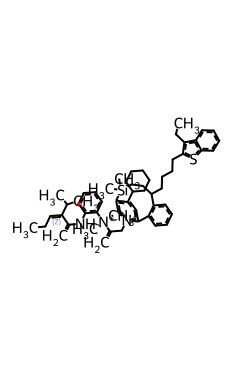 C=C(Nc1ccccc1[N+](C)(C)C(=C)C[n+]1cc2c(C3CCCCC3)cc1-c1ccccc1C(CCCCc1sc3ccccc3c1CC)CC[Si]2(C)C)/C(=C\CC)C(C)C